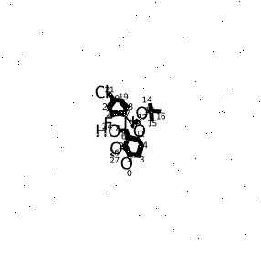 COc1cccc(C(O)N(C(=O)OC(C)(C)C)c2ccc(Cl)cc2F)c1OC